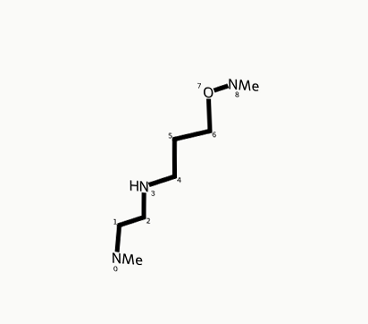 CNCCNCCCONC